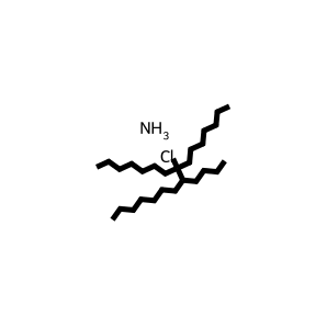 CCCCCCCC(CCCC)C(Cl)(CCCCCCC)CCCCCCC.N